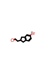 O=CCC1Cc2ccc(Br)cc2C1